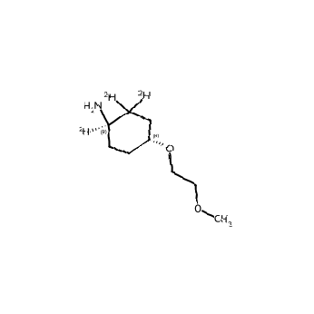 [2H]C1([2H])C[C@H](OCCOC)CC[C@@]1([2H])N